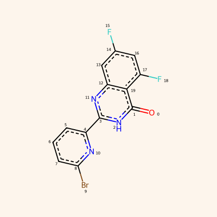 O=c1[nH]c(-c2cccc(Br)n2)nc2cc(F)cc(F)c12